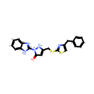 O=c1cc(CSc2nc(Cc3ccccc3)cs2)[nH]n1-c1nc2ccccc2[nH]1